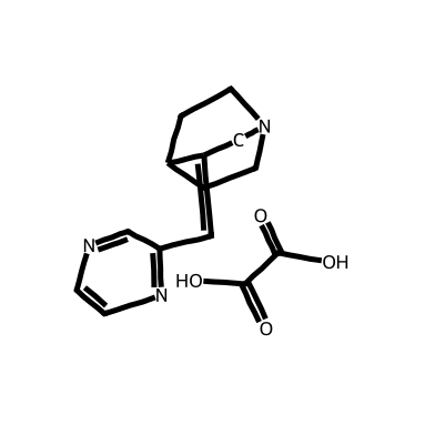 C(=C1CN2CCC1CC2)c1cnccn1.O=C(O)C(=O)O